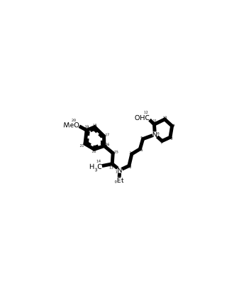 CCN(CCCCN1CCCCC1C=O)C(C)Cc1ccc(OC)cc1